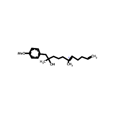 C=CCC/C=C(\C)CCCC(C)(O)Cc1ccc(OC)cc1